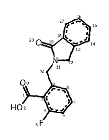 O=C(O)c1c(F)cccc1CN1Cc2ccccc2C1=O